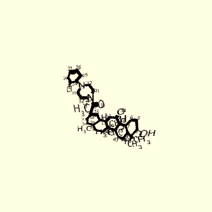 CC1(C)[C@@H](O)CC[C@]2(C)[C@H]3C(=O)C=C4[C@@H]5C[C@@](C)(C(=O)N6CCN(c7ccccc7Cl)CC6)CC[C@]5(C)CC[C@@]4(C)[C@]3(C)CC[C@@H]12